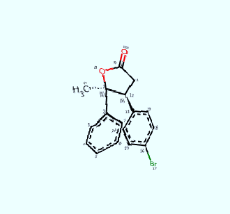 C[C@]1(c2ccccc2)OC(=O)C[C@H]1c1ccc(Br)cc1